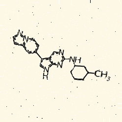 CC1CCC[C@@H](Nc2ncc3c(-c4ccn5nccc5c4)c[nH]c3n2)C1